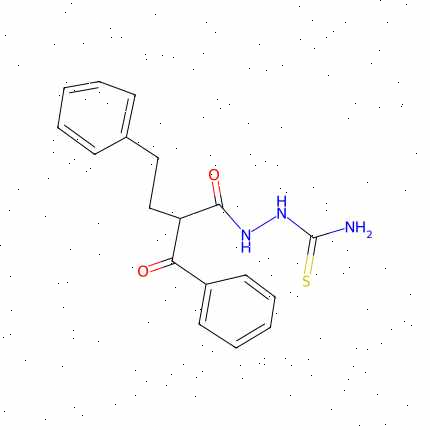 NC(=S)NNC(=O)C(CCc1ccccc1)C(=O)c1ccccc1